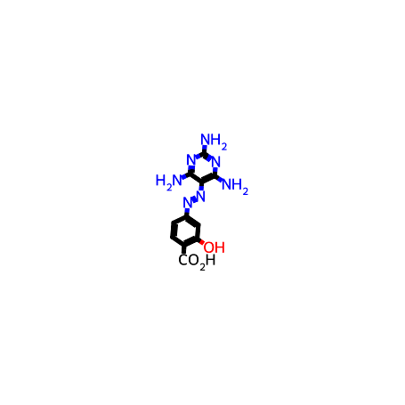 Nc1nc(N)c(/N=N/c2ccc(C(=O)O)c(O)c2)c(N)n1